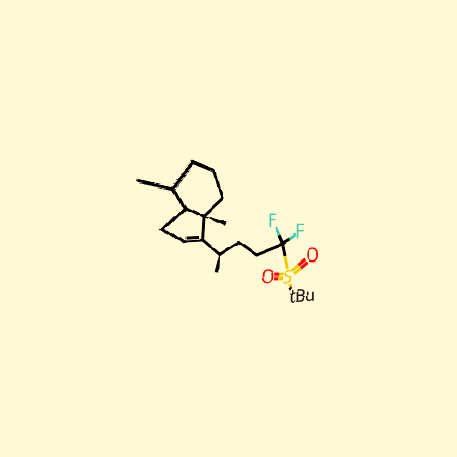 CC1CCC[C@]2(C)C([C@H](C)CCC(F)(F)S(=O)(=O)C(C)(C)C)=CCC12